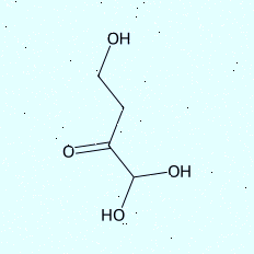 O=C(CCO)C(O)O